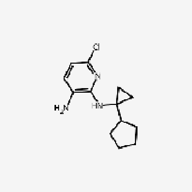 Nc1ccc(Cl)nc1NC1(C2CCCC2)CC1